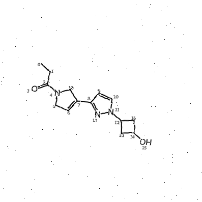 CCC(=O)N1CC=C(c2[c]cn(C3CC(O)C3)n2)C1